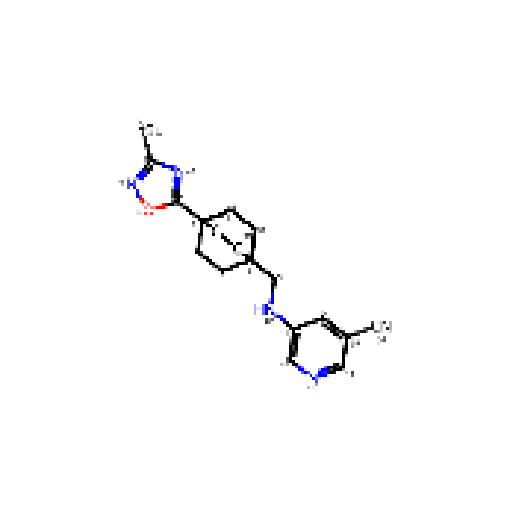 CC(C)(C)c1noc(C23CCC(CNc4cncc(C#N)c4)(CC2)CC3)n1